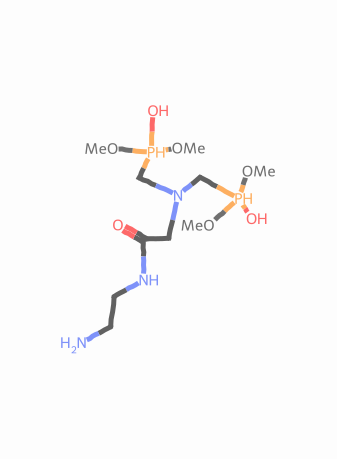 CO[PH](O)(CN(CC(=O)NCCN)C[PH](O)(OC)OC)OC